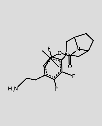 CC(C)(C)OC(=O)N1C2CCC1CN(c1c(F)cc(CCN)c(F)c1F)C2